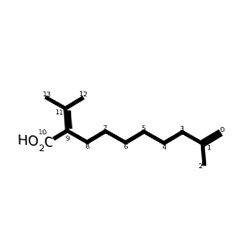 C=C(C)CCCCCCC(C(=O)O)=C(C)C